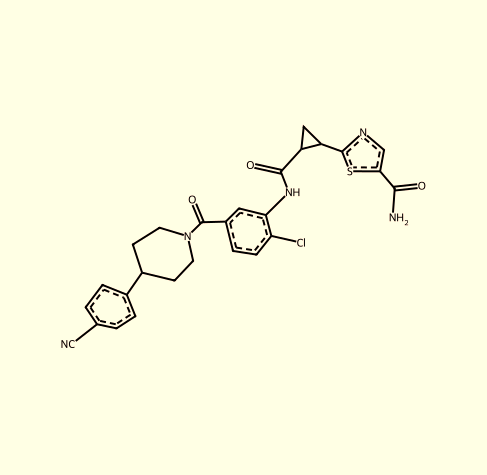 N#Cc1ccc(C2CCN(C(=O)c3ccc(Cl)c(NC(=O)C4CC4c4ncc(C(N)=O)s4)c3)CC2)cc1